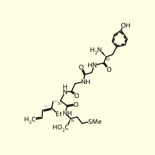 C=C/C=C(\CC)C[C@H](NC(=O)CNC(=O)CNC(=O)[C@@H](N)Cc1ccc(O)cc1)C(=O)N[C@@H](CCSC)C(=O)O